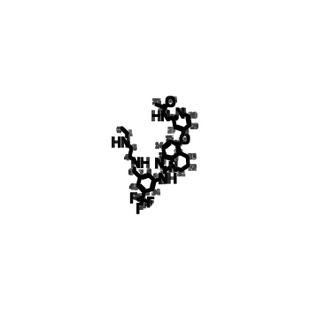 CCNCCNCc1cc(Nc2nc3ccc(Oc4ccnc(NC(C)=O)c4)c4c3n2CCC4)cc(C(F)(F)F)c1